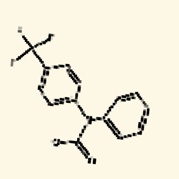 [O]C(=O)N(c1ccccc1)c1ccc(C(F)(F)F)cc1